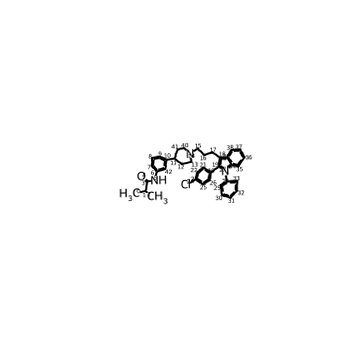 CC(C)C(=O)Nc1cccc(C2CCN(CCCc3c(-c4ccc(Cl)cc4)n(-c4ccccc4)c4ccccc34)CC2)c1